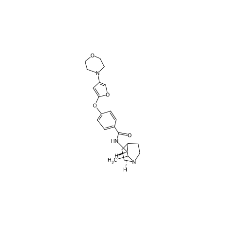 C[C@H]1[C@H](NC(=O)c2ccc(Oc3cc(N4CCOCC4)co3)cc2)C2CCN1CC2